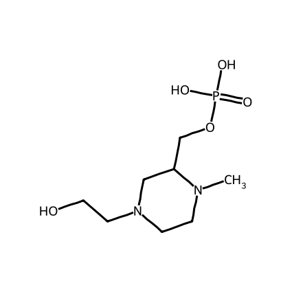 CN1CCN(CCO)CC1COP(=O)(O)O